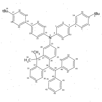 CC(C)(C)c1ccc(-c2ccc(N(c3ccc(-c4ccc(C(C)(C)C)cc4)cc3)c3ccc4c(c3)C(C)(C)c3ccccc3C4=C(c3ccccc3)c3ccccc3)cc2)cc1